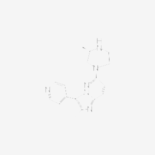 Cc1nc2ccc(N3CCN[C@H](C)C3)nn2c1-c1ccncc1